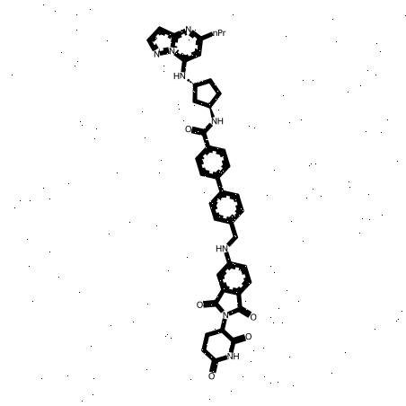 CCCc1cc(N[C@@H]2CC[C@@H](NC(=O)c3ccc(-c4ccc(CNc5ccc6c(c5)C(=O)N(C5CCC(=O)NC5=O)C6=O)cc4)cc3)C2)n2nccc2n1